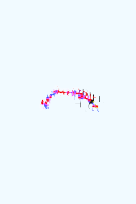 Cc1ncsc1-c1ccc([C@H](C)NC(O)[C@@H]2CCCN2C(=O)[C@@H](NC(=O)CCOCCOCCOCCC(=O)N2CCN(c3ccc(N4CCCC(Oc5cc(-c6ccccc6O)nnc5N)C4)cc3)CC2)C(C)(C)C)cc1